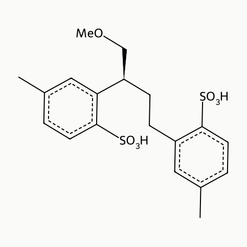 COC[C@@H](CCc1cc(C)ccc1S(=O)(=O)O)c1cc(C)ccc1S(=O)(=O)O